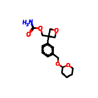 NC(=O)OCC1(c2cccc(COC3CCCCO3)c2)COC1